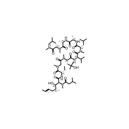 C/C=C/C[C@@H](C)[C@@H](O)C(C(=O)N[C@@H](CC)C(=O)N(C)CC(=O)N(C)[C@@H](CC(C)(C)O)C(=O)N[C@@H](C(=O)N(C)[C@@H](CC(C)C)C(=O)N[C@@H](C)C(=O)N[C@@H](C)C(=O)N(C)[C@@H](CC(C)C)C(=O)NC)C(C)C)N(C)C(=O)CC(C)C